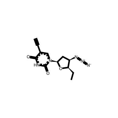 C#Cc1cn([C@H]2C[C@@H](N=[N+]=[N-])[C@@H](CC)O2)c(=O)[nH]c1=O